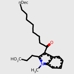 CCCCCCCCCCCCCCCCCC(=O)c1c(CCC(=O)O)n(C)c2ccccc12